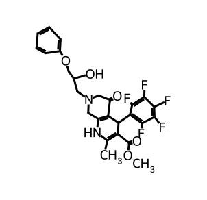 COC(=O)C1=C(C)NC2=C(C(=O)CN(CC(O)COc3ccccc3)C2)C1c1c(F)c(F)c(F)c(F)c1F